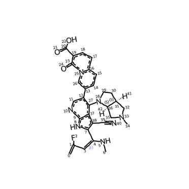 C=C(F)/C=C(/NC)c1[nH]c2ncc(-c3ccc4ccc(C(=O)O)c(=O)n4c3)c(N3CC[C@H]4CN(C)C[C@H]43)c2c1C#N